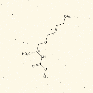 CC(=O)OCC=CCOC[C@H](NC(=O)OC(C)(C)C)C(=O)O